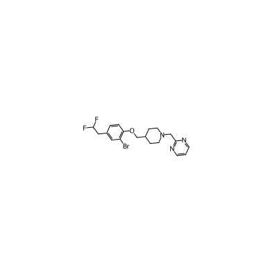 F[C](F)Cc1ccc(OCC2CCN(Cc3ncccn3)CC2)c(Br)c1